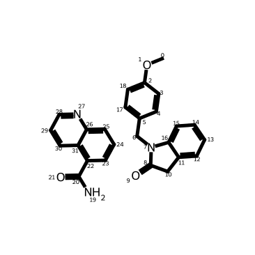 COc1ccc(CN2C(=O)Cc3ccccc32)cc1.NC(=O)c1cccc2ncccc12